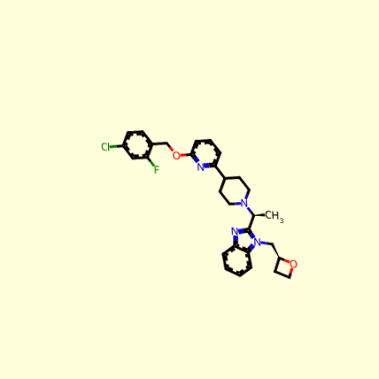 C[C@@H](c1nc2ccccc2n1C[C@@H]1CCO1)N1CCC(c2cccc(OCc3ccc(Cl)cc3F)n2)CC1